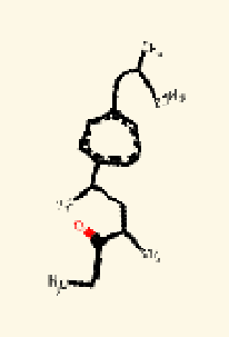 CCC(=O)C(C)CC(C)c1ccc(CC(C)C)cc1